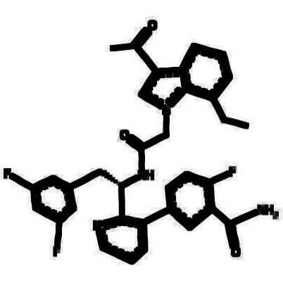 CCc1cccc2c(C(C)=O)cn(CC(=O)N[C@@H](Cc3cc(F)cc(F)c3)c3ncccc3-c3ccc(F)c(C(N)=O)c3)c12